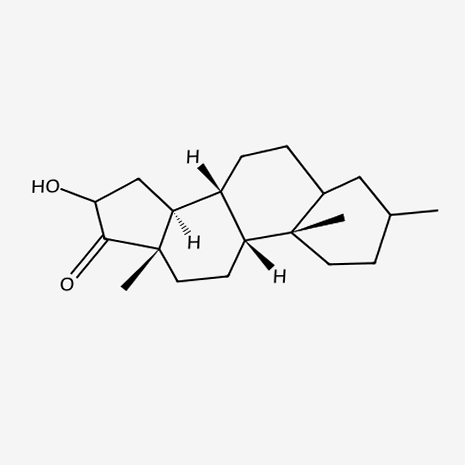 CC1CC[C@@]2(C)C(CC[C@@H]3[C@H]2CC[C@]2(C)C(=O)C(O)C[C@@H]32)C1